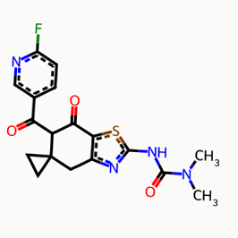 CN(C)C(=O)Nc1nc2c(s1)C(=O)C(C(=O)c1ccc(F)nc1)C1(CC1)C2